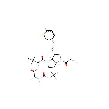 C[C@@H](C(=O)NC(C(=O)N1CC[C@@H]2[C@H]1[C@@H](COc1ccc(F)c(F)c1)CN2C(=O)CN)C(C)(C)C)N(C)C(=O)OC(C)(C)C